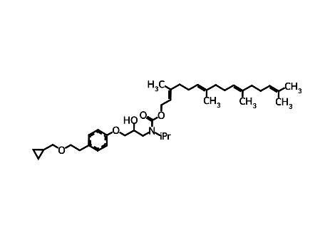 CC(C)=CCC/C(C)=C/CC/C(C)=C/CC/C(C)=C/COC(=O)N(CC(O)COc1ccc(CCOCC2CC2)cc1)C(C)C